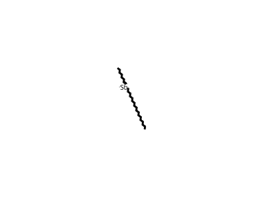 CCCCCCC=[CH][Sb][CH2]CCCCCCCCCCCCCCCCC